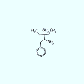 CCC(N)(CC)C(N)Cc1ccccc1